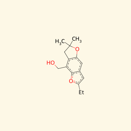 CCc1cc2cc3c(c(CO)c2o1)CC(C)(C)O3